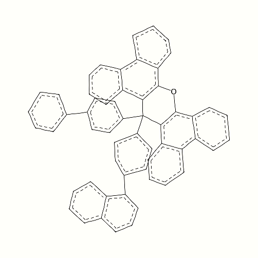 c1ccc(-c2ccc(C3(c4ccc(-c5cccc6ccccc56)cc4)c4c(c5ccccc5c5ccccc45)Oc4c3c3ccccc3c3ccccc43)cc2)cc1